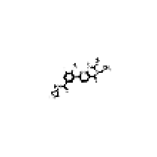 CCN(C(=O)C(=N)/C=C\C(=N)c1cc(C(=O)NC2CNC2)cc(F)c1C)C(C)C